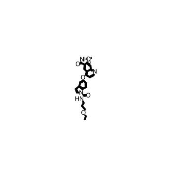 CCOCCCNC(=O)n1ccc2cc(Oc3ccnc4cc(OC)c(C(N)=O)cc34)ccc21